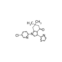 CC1(C)CC(=O)c2c(-c3nccs3)cn(-c3ccc(Cl)cn3)c2C1